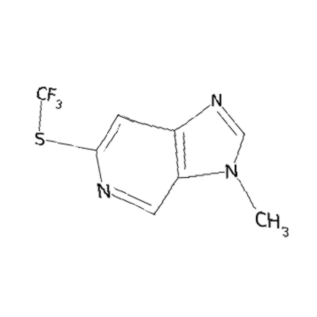 Cn1cnc2cc(SC(F)(F)F)ncc21